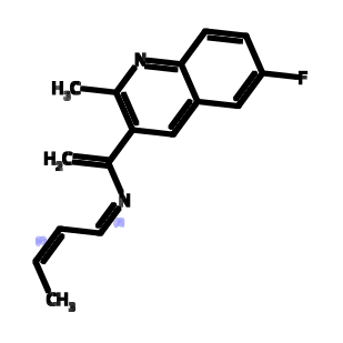 C=C(/N=C\C=C/C)c1cc2cc(F)ccc2nc1C